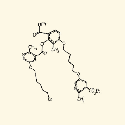 CCCC(=O)c1ccc(OCCCCCOc2cnc(C)c(C(=O)OCC)c2)c(C)c1OC(=O)c1cc(OCCCCCBr)cnc1C